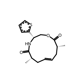 C[C@@H]1C/C=C/C[C@H](C)C(=O)N[C@H](c2cccs2)COC1=O